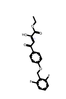 CCOC(=O)/C(O)=C/C(=O)c1ccc(OCc2c(F)cccc2F)cc1